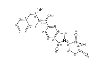 CC(C)[C@H]1Cc2ccccc2CN1C(=O)c1ccc2c(c1)CN(C1CCC(=O)NC1=O)C2=O